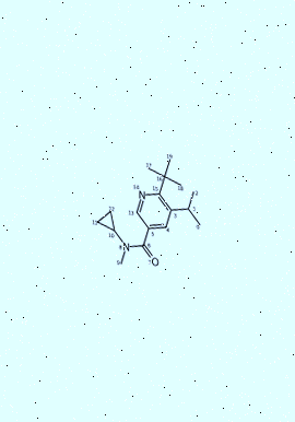 CC(C)c1cc(C(=O)N(C)C2CC2)cnc1C(C)(C)C